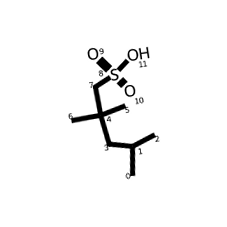 CC(C)CC(C)(C)CS(=O)(=O)O